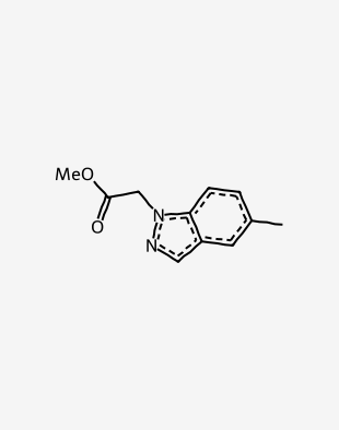 COC(=O)Cn1ncc2cc(C)ccc21